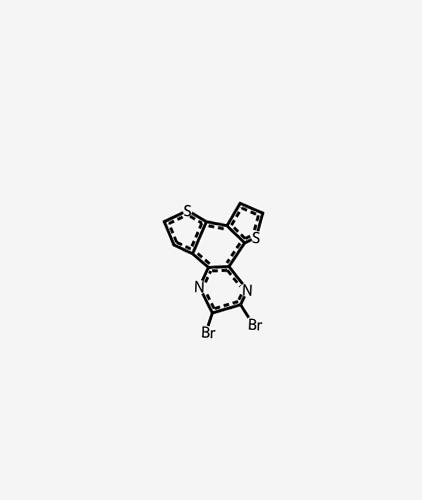 Brc1nc2c3ccsc3c3ccsc3c2nc1Br